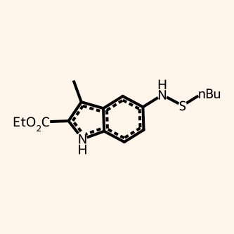 CCCCSNc1ccc2[nH]c(C(=O)OCC)c(C)c2c1